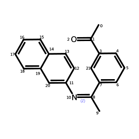 CC(=O)c1cccc(/C(C)=N\c2ccc3ccccc3c2)c1